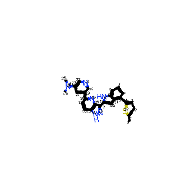 Cc1ccc(-c2cccc3[nH]c(-c4n[nH]c5ccc(-c6cncc(N(C)C)c6)nc45)cc23)s1